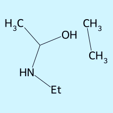 CC.CCNC(C)O